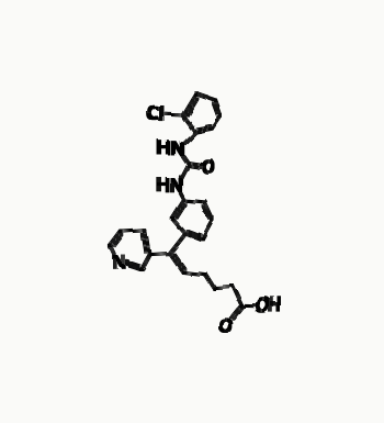 O=C(O)CCCC=C(c1cccnc1)c1cccc(NC(=O)Nc2ccccc2Cl)c1